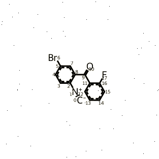 [C-]#[N+]c1ccc(Br)cc1C(=O)c1ccccc1F